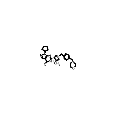 C[C@@H]1CN(Cc2ccc(CN3CCOCC3)cc2)C[C@H]1c1nc2c(cnn2C2CCCC2)c(=O)[nH]1